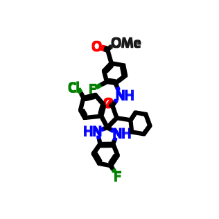 COC(=O)c1ccc(NC(=O)C(C2CCCCC2)C2(c3ccc(Cl)cc3)Nc3ccc(F)cc3N2)c(F)c1